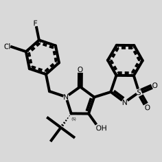 CC(C)(C)[C@H]1C(O)=C(C2=NS(=O)(=O)c3ccccc32)C(=O)N1Cc1ccc(F)c(Cl)c1